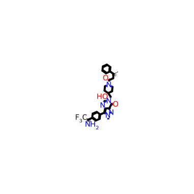 C[C@H](CC(=O)N1CCC(O)(Cn2cnc3c(-c4ccc([C@H](N)C(F)(F)F)cc4)n(C)nc3c2=O)CC1)c1ccccc1